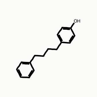 Oc1ccc(CC[CH]Cc2ccccc2)cc1